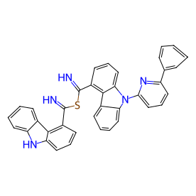 N=C(SC(=N)c1cccc2c1c1ccccc1n2-c1cccc(-c2ccccc2)n1)c1cccc2[nH]c3ccccc3c12